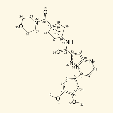 COc1ccc(-c2ccnc3cc(C(=O)NC45CCC(C(=O)N6CCOCC6)(CC4)CC5)nn23)cc1OC